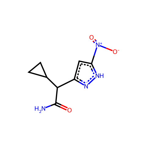 NC(=O)C(c1cc([N+](=O)[O-])[nH]n1)C1CC1